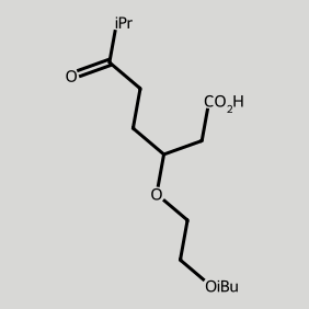 CC(C)COCCOC(CCC(=O)C(C)C)CC(=O)O